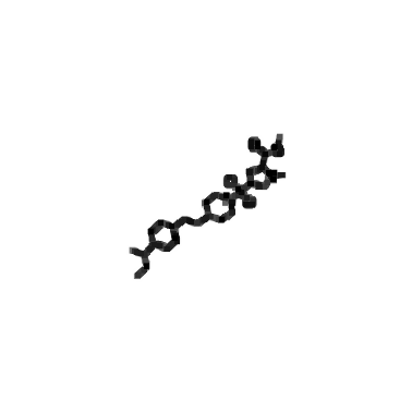 CCC(C)c1ccc(CCC2CCN(S(=O)(=O)c3cc(C(=O)OC)n(C)c3)CC2)cc1